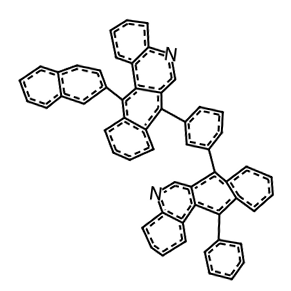 c1ccc(-c2c3ccccc3c(-c3cccc(-c4c5ccccc5c(-c5ccc6ccccc6c5)c5c4cnc4ccccc45)c3)c3cnc4ccccc4c23)cc1